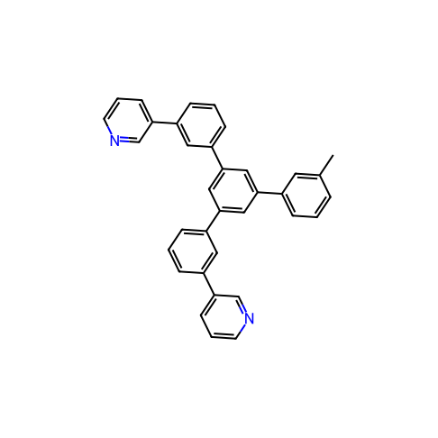 Cc1cccc(-c2cc(-c3cccc(-c4cccnc4)c3)cc(-c3cccc(-c4cccnc4)c3)c2)c1